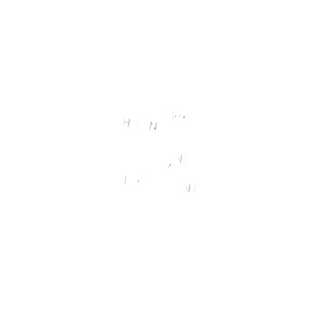 CCCCCCN(C)CCC(C)[C@@H](O)CO